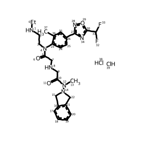 CCNCCN(C(=O)CNCC(=O)N(C)N1Cc2ccccc2C1)c1ccc(-c2noc(C(F)F)n2)cc1C.Cl.Cl